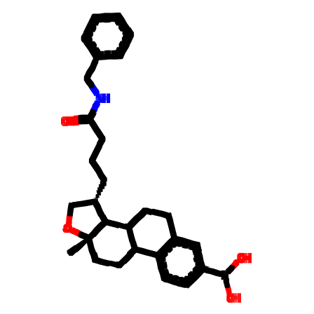 C[C@]12CCC3c4ccc(B(O)O)cc4CCC3C1[C@@H](CCCC(=O)NCc1ccccc1)CO2